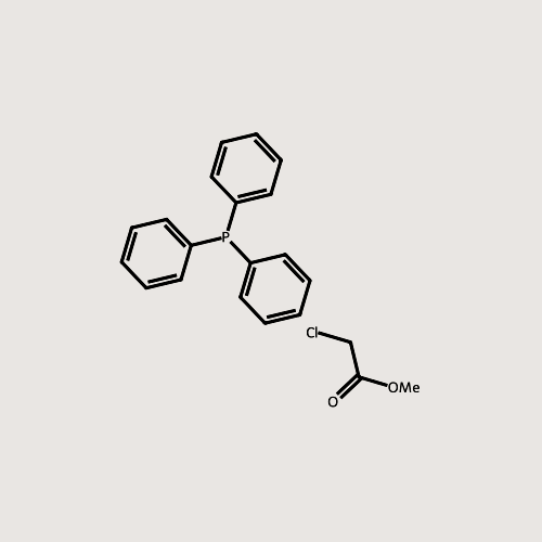 COC(=O)CCl.c1ccc(P(c2ccccc2)c2ccccc2)cc1